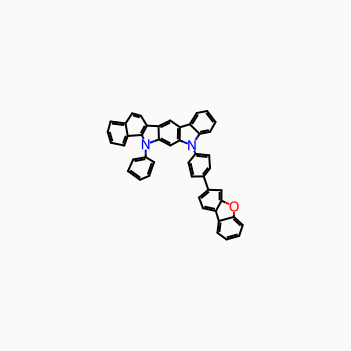 c1ccc(-n2c3cc4c(cc3c3ccc5ccccc5c32)c2ccccc2n4-c2ccc(-c3ccc4c(c3)oc3ccccc34)cc2)cc1